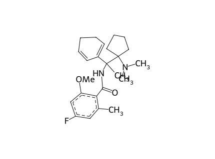 COc1cc(F)cc(C)c1C(=O)NC(C)(C1=CCCC=C1)C1(N(C)C)CCCC1